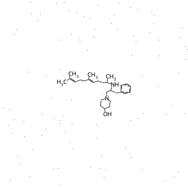 CC(C)=CCC/C(C)=C/CCC(C)NC(Cc1ccccc1)CN1CCC(O)CC1